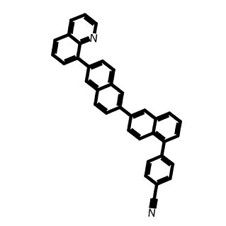 N#Cc1ccc(-c2cccc3cc(-c4ccc5cc(-c6cccc7cccnc67)ccc5c4)ccc23)cc1